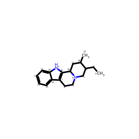 CCC1CN2CCc3c([nH]c4ccccc34)C2CC1C